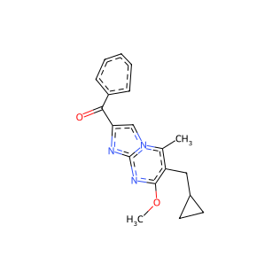 COc1nc2nc(C(=O)c3ccccc3)cn2c(C)c1CC1CC1